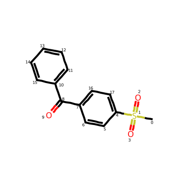 CS(=O)(=O)c1ccc(C(=O)c2ccccc2)cc1